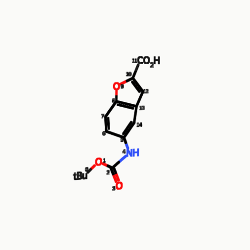 CC(C)(C)OC(=O)Nc1ccc2oc(C(=O)O)cc2c1